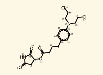 O=C1CC(OC(=O)CCCc2ccc(N(CCCl)CCCl)cc2)C(=O)N1